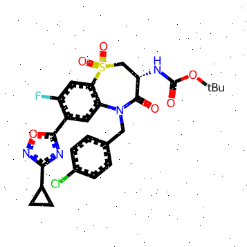 CC(C)(C)OC(=O)N[C@H]1CS(=O)(=O)c2cc(F)c(-c3nc(C4CC4)no3)cc2N(Cc2ccc(Cl)cc2)C1=O